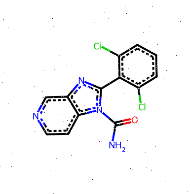 NC(=O)n1c(-c2c(Cl)cccc2Cl)nc2[c]nccc21